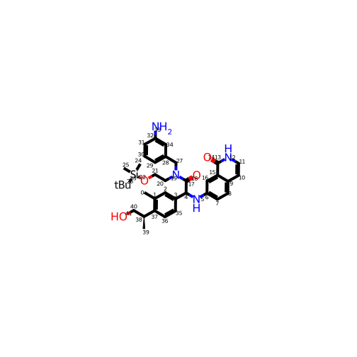 Cc1cc(C(Nc2ccc3cc[nH]c(=O)c3c2)C(=O)N(CCO[Si](C)(C)C(C)(C)C)Cc2cccc(N)c2)ccc1[C@@H](C)CO